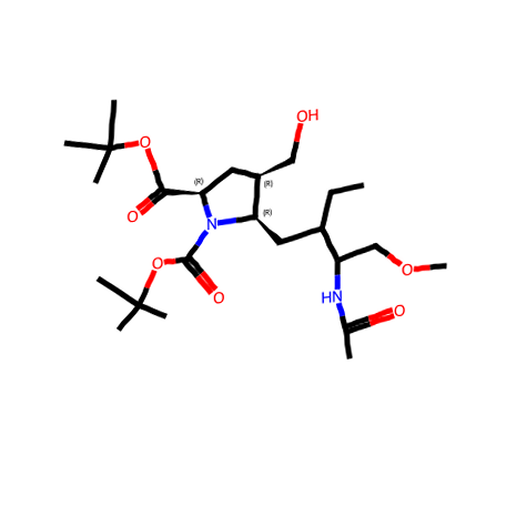 CCC(C[C@@H]1[C@H](CO)C[C@H](C(=O)OC(C)(C)C)N1C(=O)OC(C)(C)C)C(COC)NC(C)=O